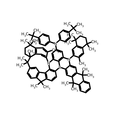 Cc1cc2c(cc1N1c3cc4c(cc3B3c5ccc6c7c5N(c5cc8c(cc5C)C(C)(C)CCC8(C)C(C)(C)c5ccc(c-7c5)C6(C)C)c5cc(N(c6ccc(C(C)(C)C)cc6)c6ccc(C(C)(C)C)cc6)cc1c53)C(C)(C)c1ccccc1C4(C)C)C(C)(C)CCC2(C)C